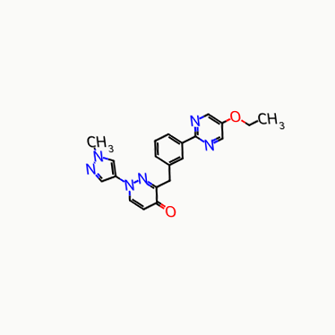 CCOc1cnc(-c2cccc(Cc3nn(-c4cnn(C)c4)ccc3=O)c2)nc1